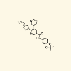 NC[C@@H]1CCN(c2ncc(C(=O)Nc3ccc(OC(F)(F)Cl)cc3)cc2-c2cncnc2)C1